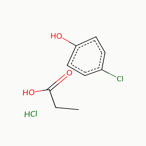 CCC(=O)O.Cl.Oc1ccc(Cl)cc1